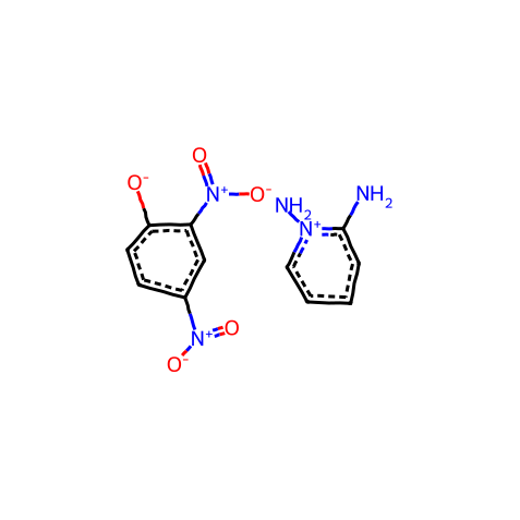 Nc1cccc[n+]1N.O=[N+]([O-])c1ccc([O-])c([N+](=O)[O-])c1